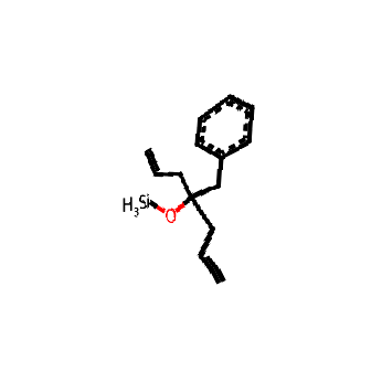 C=CCC(CC=C)(Cc1ccccc1)O[SiH3]